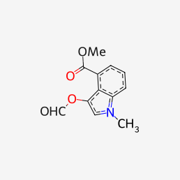 COC(=O)c1cccc2c1c(OC=O)cn2C